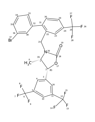 C[C@H]1[C@@H](c2cc(C(F)(F)F)cc(C(F)(F)F)c2)OC(=O)N1Cc1cc(C(F)(F)F)ccc1-c1cccc(Br)c1